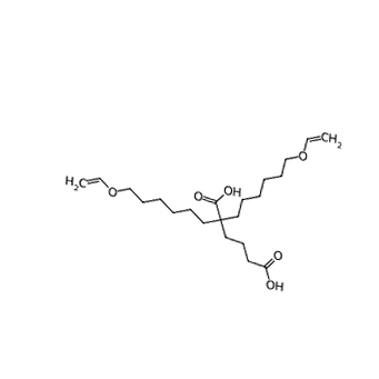 C=COCCCCCCC(CCCCCCOC=C)(CCCC(=O)O)C(=O)O